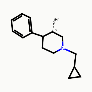 CC(C)[C@@H]1CN(CC2CC2)CCC1c1ccccc1